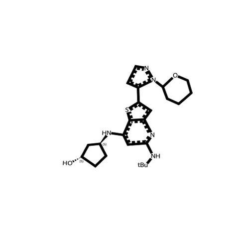 CC(C)(C)Nc1cc(N[C@H]2CC[C@H](O)C2)c2sc(-c3ccnn3C3CCCCO3)cc2n1